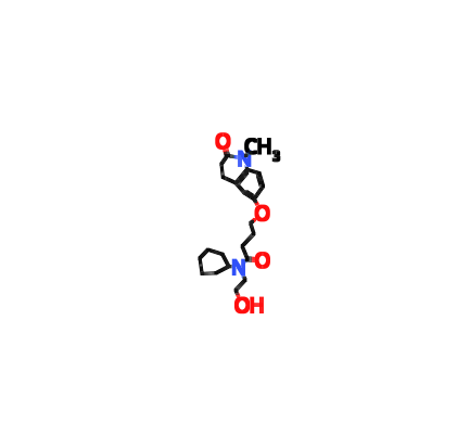 CN1C(=O)CCc2cc(OCCCC(=O)N(CCO)C3CCCCC3)ccc21